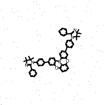 CC1(C)N=C(c2ccccc2)N(c2ccc(-c3ccc4c(c3)Oc3cccc5c3B4c3ccc(-c4ccc(N6C(c7ccccc7)=NC(C)(C)C6(C)C)cc4)cc3O5)cc2)C1(C)C